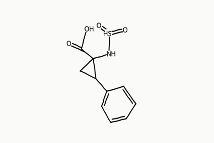 O=C(O)C1(N[SH](=O)=O)CC1c1ccccc1